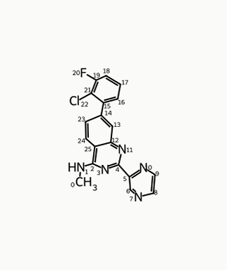 CNc1nc(-c2cnccn2)nc2cc(-c3cccc(F)c3Cl)ccc12